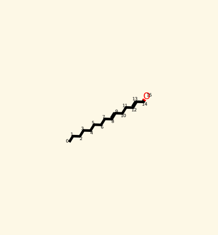 CCCCCCCCC=CCCC=CC=O